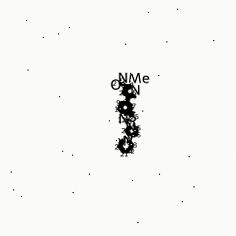 CNC(=O)c1cncc(-c2ccc3nc(N4CCC(N5CCCCC5)C4)sc3c2)c1